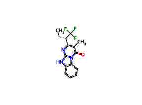 CC[C@@H](c1nc2[nH]c3ccccc3n2c(=O)c1C)C(F)(F)F